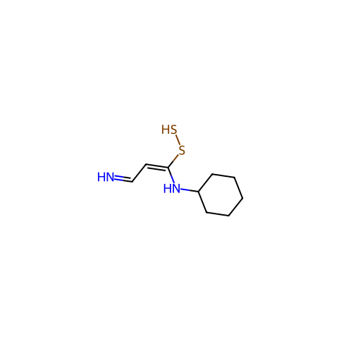 N=C/C=C(\NC1CCCCC1)SS